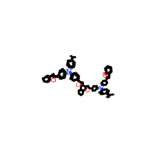 CC(C)c1ccc(N(c2ccc(-c3cc4ccccc4o3)cc2)c2ccc(-c3cc4c5cc(-c6ccc(N(c7ccc(-c8cc9ccccc9o8)cc7)c7ccc(C(C)C)cc7)cc6)oc5c5ccccc5c4o3)cc2)cc1